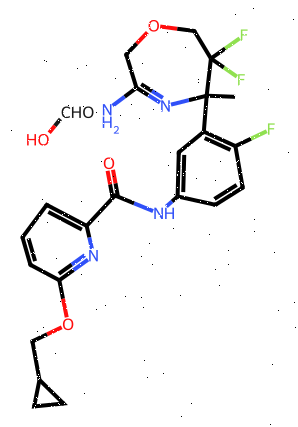 CC1(c2cc(NC(=O)c3cccc(OCC4CC4)n3)ccc2F)N=C(N)COCC1(F)F.O=CO